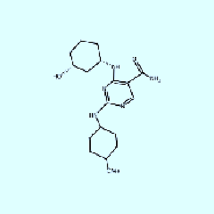 COC1CCC(Nc2ncc(C(N)=O)c(N[C@H]3CCC[C@@H](O)C3)n2)CC1